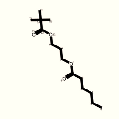 CCCCCC(=O)O[CH]CCOC(=O)C(C)(C)C